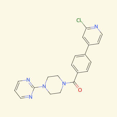 O=C(c1ccc(-c2ccnc(Cl)c2)cc1)N1CCN(c2ncccn2)CC1